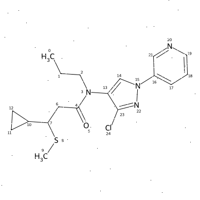 CCCN(C(=O)CC(SC)C1CC1)c1cn(-c2cccnc2)nc1Cl